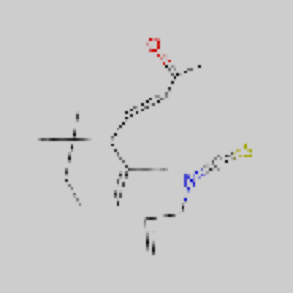 C=CCN=C=S.CC(=O)/C=C/C1C(C)=CCCC1(C)C